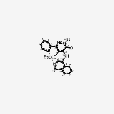 CCOC(=O)c1c(-c2ccccc2)nn(CC)c(=O)c1Nc1cncc2ccccc12